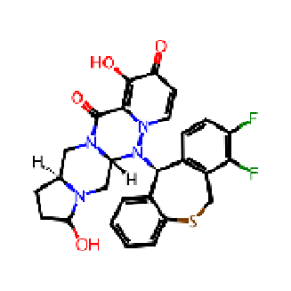 O=C1c2c(O)c(=O)ccn2N([C@@H]2c3ccccc3SCc3c2ccc(F)c3F)[C@@H]2CN3C(O)CC[C@H]3CN12